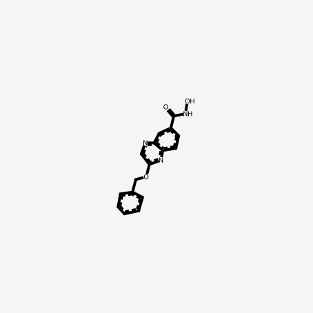 O=C(NO)c1ccc2nc(OCc3ccccc3)cnc2c1